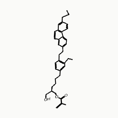 C=C(C)C(=O)OCC(CO)CCCCc1ccc(CCc2ccc3c(ccc4cc(CCC)ccc43)c2)c(CC)c1